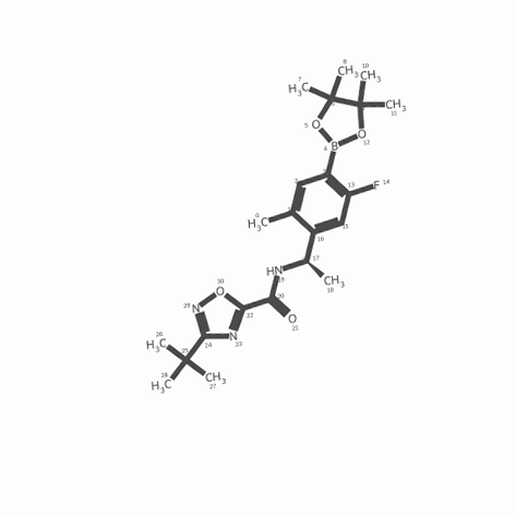 Cc1cc(B2OC(C)(C)C(C)(C)O2)c(F)cc1[C@@H](C)NC(=O)c1nc(C(C)(C)C)no1